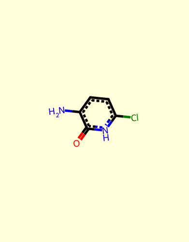 Nc1ccc(Cl)[nH]c1=O